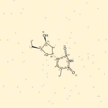 CC[C@@H]1O[C@@H](n2cc(C)c(=O)[nH]c2=O)C[C@@H]1O